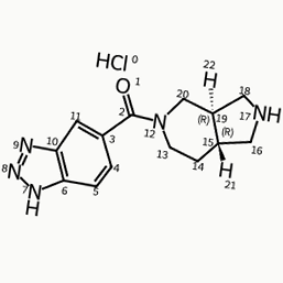 Cl.O=C(c1ccc2[nH]nnc2c1)N1CC[C@H]2CNC[C@@H]2C1